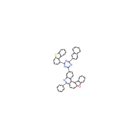 c1ccc(-c2nc3cc(-c4nc(-c5ccc6ccccc6c5)nc(-c5cccc6sc7ccccc7c56)n4)ccc3c3c2ccc2oc4ccccc4c23)cc1